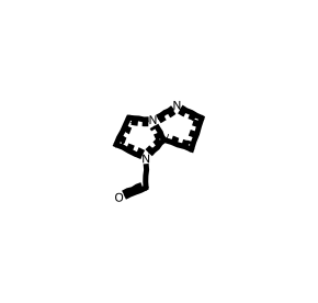 O=Cn1ccn2nccc12